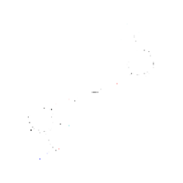 NC(=O)c1c(F)ccc(OCCCCOc2ccc(Cl)c(C(F)(F)F)c2)c1F